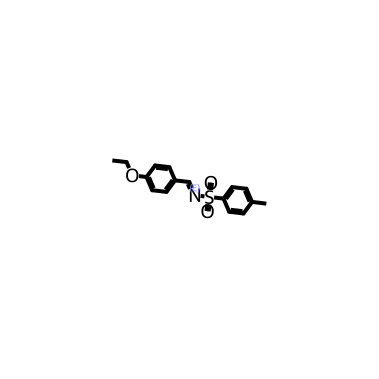 CCOc1ccc(/C=N/S(=O)(=O)c2ccc(C)cc2)cc1